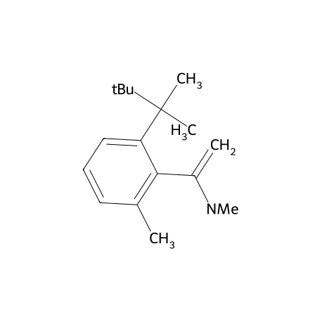 C=C(NC)c1c(C)cccc1C(C)(C)C(C)(C)C